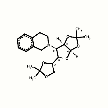 CC1(C)O[C@H]2O[C@H]([C@H]3COC(C)(C)O3)[C@H](N3CCc4ccccc4C3)[C@H]2O1